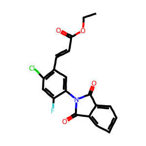 CCOC(=O)C=Cc1cc(N2C(=O)c3ccccc3C2=O)c(F)cc1Cl